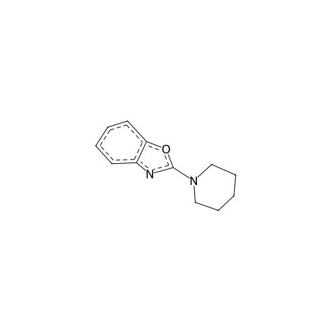 c1ccc2oc(N3CCCCC3)nc2c1